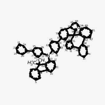 CC1(C)c2ccccc2-c2cccc(N(c3ccc(-c4ccccc4)cc3)c3ccc(-c4ccc5c(c4)C4(c6ccccc6-c6ccccc6-c6ccccc64)c4ccccc4-5)cc3)c21